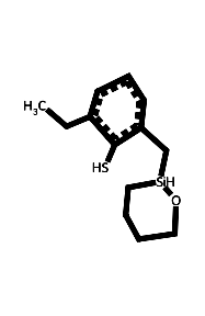 CCc1cccc(C[SiH]2CCCCO2)c1S